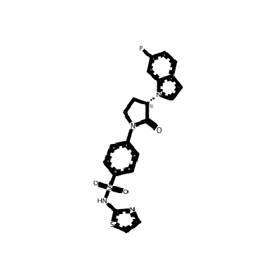 O=C1[C@@H](n2ccc3ccc(F)cc32)CCN1c1ccc(S(=O)(=O)Nc2nccs2)cc1